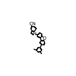 Cc1cc(C)cc(-c2ccc3oc4ccc(-n5ccc6cc(C#N)ccc65)cc4c3c2)c1